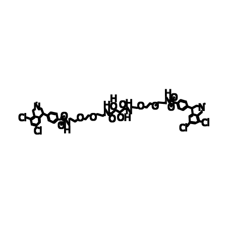 CN1Cc2c(Cl)cc(Cl)cc2C(c2ccc(S(=O)(=O)NCCOCCOCCNC(=O)C(O)C(O)C(=O)NCCOCCOCCNS(=O)(=O)c3ccc(C4CN(C)Cc5c(Cl)cc(Cl)cc54)cc3)cc2)C1